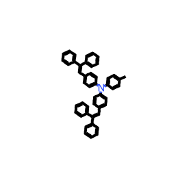 Cc1ccc(N(c2ccc(C=C(c3ccccc3)c3ccccc3)cc2)c2ccc(C=C(c3ccccc3)c3ccccc3)cc2)cc1